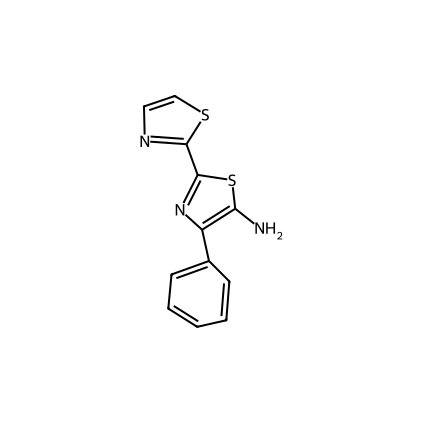 Nc1sc(-c2nccs2)nc1-c1ccccc1